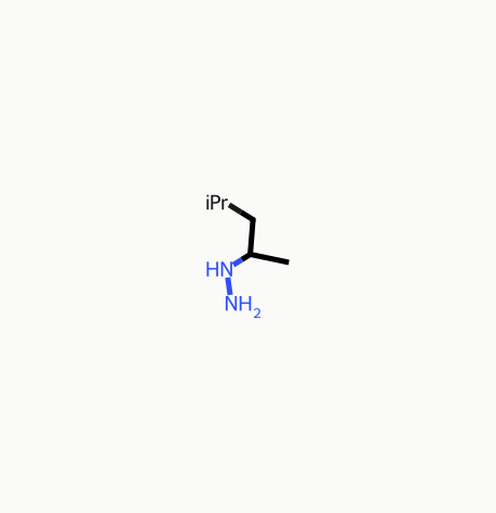 CC(C)CC(C)NN